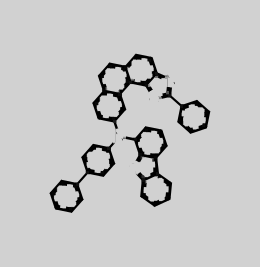 c1ccc(-c2ccc(N(c3ccc4ccc5ccc6nc(-c7ccccc7)oc6c5c4c3)c3cccc4c3sc3ccccc34)cc2)cc1